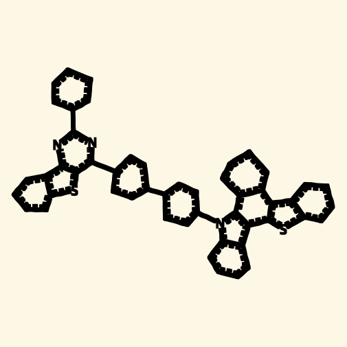 c1ccc(-c2nc(-c3ccc(-c4ccc(-n5c6ccccc6c6c7sc8ccccc8c7c7ccccc7c65)cc4)cc3)c3sc4ccccc4c3n2)cc1